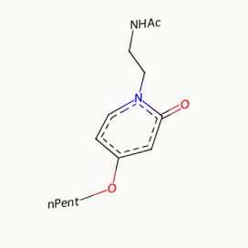 CCCCCOc1ccn(CCNC(C)=O)c(=O)c1